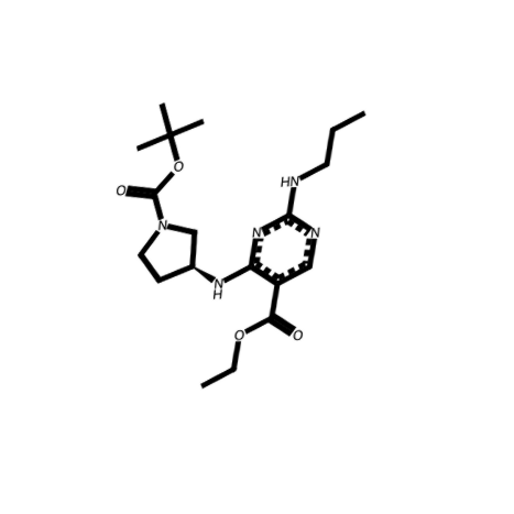 CCCNc1ncc(C(=O)OCC)c(N[C@H]2CCN(C(=O)OC(C)(C)C)C2)n1